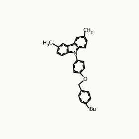 CCC(C)c1ccc(COc2ccc(-n3c4ccc(C)cc4c4cc(C)ccc43)cc2)cc1